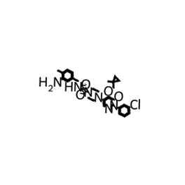 Cc1ccc(CNS(=O)(=O)N2CCN(c3cnn(-c4cccc(Cl)c4)c(=O)c3OCC3(C)CC3)CC2)cc1N